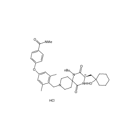 CCCCN1C(=O)[C@@H](CC2(O)CCCCC2)NC(=O)C12CCN(Cc1c(C)cc(Oc3ccc(C(=O)NC)cc3)cc1C)CC2.Cl